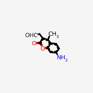 Cc1c(CC=O)c(=O)oc2cc(N)ccc12